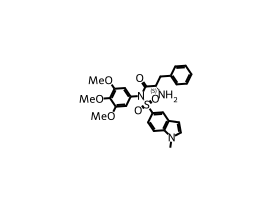 COc1cc(N(C(=O)[C@@H](N)Cc2ccccc2)S(=O)(=O)c2ccc3c(ccn3C)c2)cc(OC)c1OC